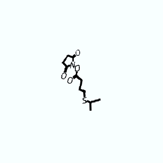 CC(C)SCCCC(=O)ON1C(=O)CCC1=O